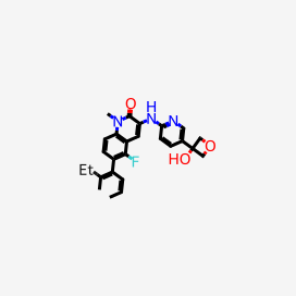 C/C=C\C(=C(/C)CC)c1ccc2c(cc(Nc3ccc(C4(O)COC4)cn3)c(=O)n2C)c1F